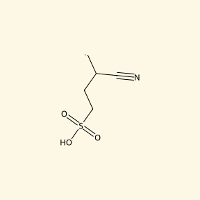 [CH2]C(C#N)CCS(=O)(=O)O